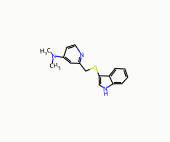 CN(C)c1ccnc(CSc2c[nH]c3ccccc23)c1